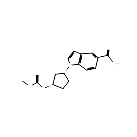 COC(=O)c1ccc2c(ccn2[C@H]2CC[C@@H](NC(=O)OC(C)(C)C)C2)c1